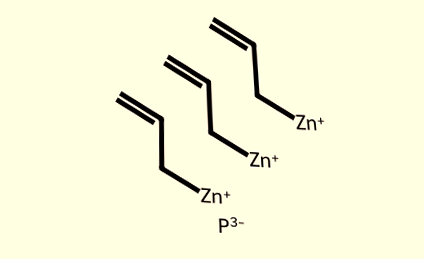 C=C[CH2][Zn+].C=C[CH2][Zn+].C=C[CH2][Zn+].[P-3]